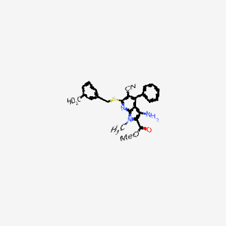 COC(=O)c1c(N)c2c(-c3ccccc3)c(C#N)c(SCc3cccc(C(=O)O)c3)nc2n1C